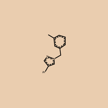 Cc1cccc(Cn2cc(C(C)C)cn2)c1